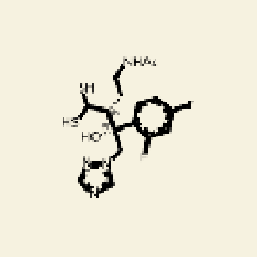 CC(=O)NCC[C@@H](C(S)S)[C@](O)(Cn1cncn1)c1ccc(F)cc1F